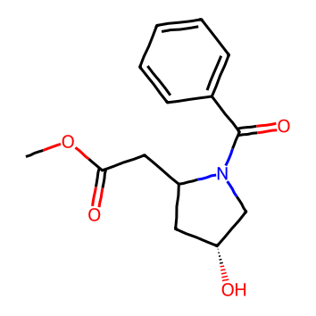 COC(=O)CC1C[C@@H](O)CN1C(=O)c1ccccc1